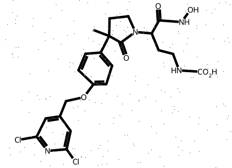 CC1(c2ccc(OCc3cc(Cl)nc(Cl)c3)cc2)CCN(C(CCNC(=O)O)C(=O)NO)C1=O